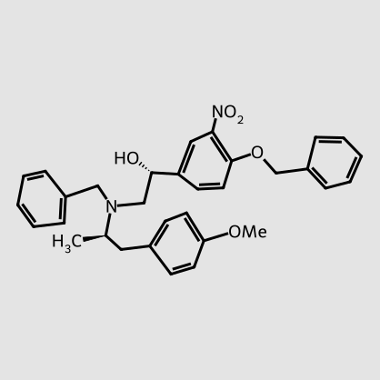 COc1ccc(C[C@@H](C)N(Cc2ccccc2)C[C@H](O)c2ccc(OCc3ccccc3)c([N+](=O)[O-])c2)cc1